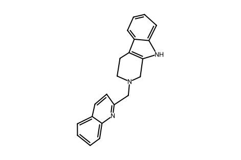 c1ccc2nc(CN3CCc4c([nH]c5ccccc45)C3)ccc2c1